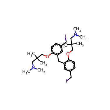 CN(C)CC(C)(C)COc1ccc(CI)cc1Cc1cc(CI)ccc1OCC(C)(C)CN(C)C